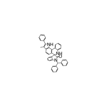 Cc1c(-c2ccccc2)[nH]c2c3c(ccc12)C1(Nc2ccccc2-3)C(=O)N(C(c2ccccc2)c2ccccc2)c2ccccc21